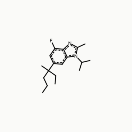 CCCC(C)(CC)c1cc(F)c2nc(C)n(C(C)C)c2c1